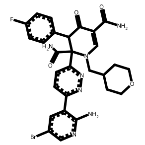 NC(=O)C1=CN(CC2CCOCC2)C(C(N)=O)(c2ccc(-c3cc(Br)cnc3N)nn2)C(c2ccc(F)cc2)C1=O